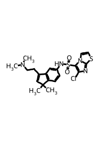 CN(C)CCC1=CC(C)(C)c2ccc(NS(=O)(=O)c3c(Cl)nc4sccn34)cc21